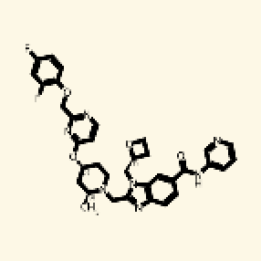 C[C@H]1C[C@@H](Oc2ccnc(COc3ccc(F)cc3F)n2)CCN1Cc1nc2ccc(C(=O)Nc3cccnc3)cc2n1C[C@@H]1CCO1